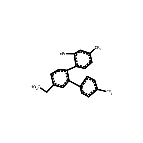 CCCc1cc(C(F)(F)F)ccc1-c1ccc(CC(=O)O)cc1-c1ccc(C(F)(F)F)cc1